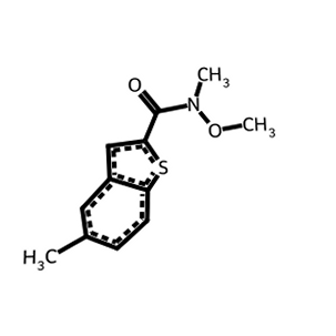 CON(C)C(=O)c1cc2cc(C)ccc2s1